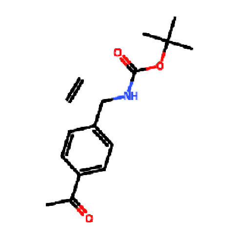 C=C.CC(=O)c1ccc(CNC(=O)OC(C)(C)C)cc1